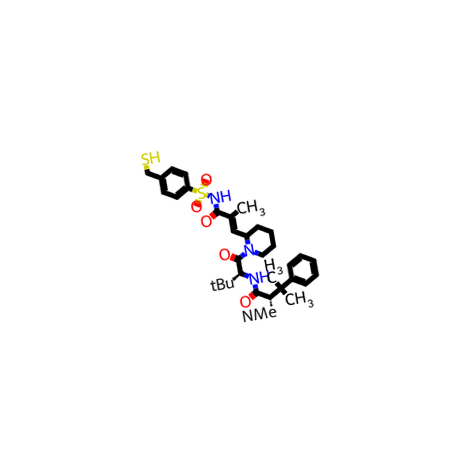 CN[C@H](C(=O)N[C@H](C(=O)N1CCCCC1/C=C(\C)C(=O)NS(=O)(=O)c1ccc(CS)cc1)C(C)(C)C)C(C)(C)c1ccccc1